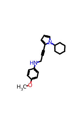 COc1ccc(NCC#Cc2cccn2C2CCCCC2)cc1